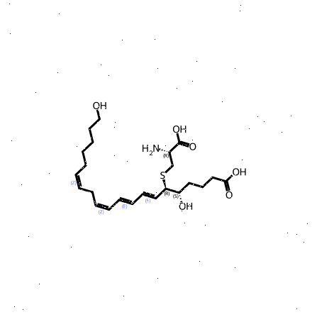 N[C@@H](CS[C@H](/C=C/C=C/C=C\C/C=C\CCCCCO)[C@@H](O)CCCC(=O)O)C(=O)O